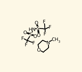 CN1CCOCC1.O=S(=O)(NS(=O)(=O)C(F)(F)F)C(F)(F)F